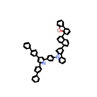 c1ccc(-c2ccc(-c3cc(-c4ccc(-c5ccccc5)cc4)nc(-c4ccc(-n5c6ccccc6c6cc(-c7cccc8c(-c9cccc%10c9oc9ccccc9%10)cccc78)ccc65)cc4)c3)cc2)cc1